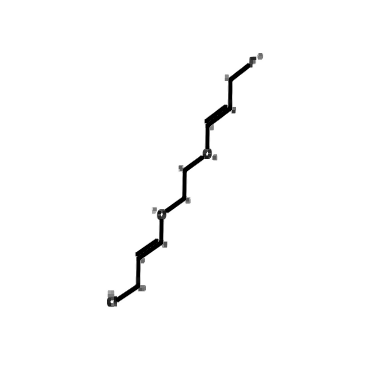 FCC=COCCOC=CCCl